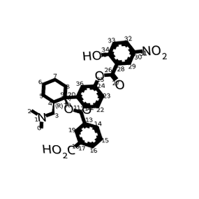 CN(C)C[C@H]1CCCC[C@]1(OC(=O)c1cccc(C(=O)O)c1)c1cccc(OC(=O)c2cc([N+](=O)[O-])ccc2O)c1